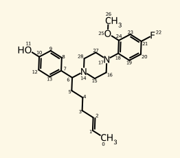 CC=CCCCC(c1ccc(O)cc1)N1CCN(c2ccc(F)cc2OC)CC1